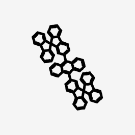 c1ccc2c(c1)-c1ccccc1C21c2ccccc2-c2ccc(-c3c4ccccc4c(-c4ccc5c(c4)C4(c6ccccc6-c6ccccc64)c4ccccc4-5)c4ccccc34)cc21